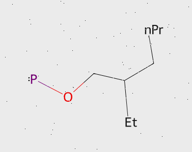 CCCCC(CC)CO[P]